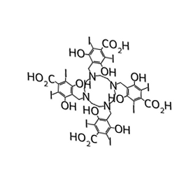 O=C(O)c1c(I)c(O)c(CN2CCN(Cc3c(O)c(I)c(C(=O)O)c(I)c3O)CCN(Cc3c(O)c(I)c(C(=O)O)c(I)c3O)CCN(Cc3c(O)c(I)c(C(=O)O)c(I)c3O)CC2)c(O)c1I